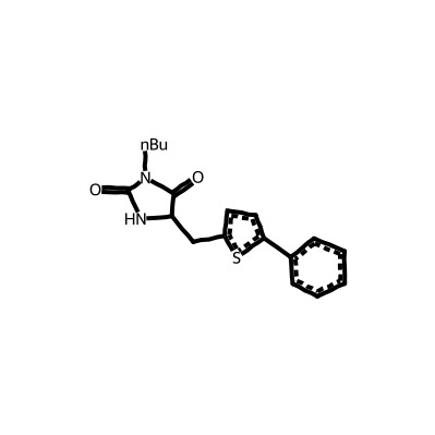 CCCCN1C(=O)NC(Cc2ccc(-c3ccccc3)s2)C1=O